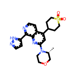 C[C@@H]1COCCN1c1cc(C2CCS(=O)(=O)CC2)c2ccnc(-c3ccn[nH]3)c2n1